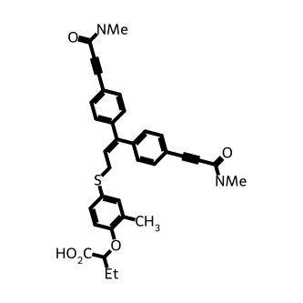 CCC(Oc1ccc(SCC=C(c2ccc(C#CC(=O)NC)cc2)c2ccc(C#CC(=O)NC)cc2)cc1C)C(=O)O